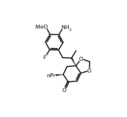 CCC[C@H]1C[C@]2(C(C)Cc3cc(N)c(OC)cc3F)OCOC2=CC1=O